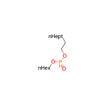 CCCCCCCCCO[PH](=O)OCCCCCC